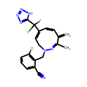 C=C1/C=C\C(C(F)(F)c2nnn[nH]2)=C/CN(Cc2c(Cl)cccc2C#N)/N=C\1C